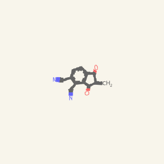 C=C1C(=O)c2ccc(C#N)c(C#N)c2C1=O